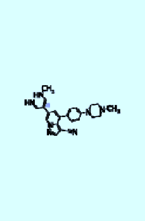 CN/C=C(\C=N)c1cc(-c2ccc(N3CCN(C)CC3)cc2)c2c(C#N)cnn2c1